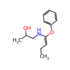 CCC=C(NCC(C)O)Oc1ccccc1